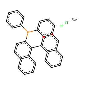 [Cl-].[Cl-].[Ru+2].c1ccc(P(c2ccccc2)c2ccc3ccccc3c2-c2cccc3ccccc23)cc1